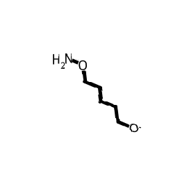 NOCCCCC[O]